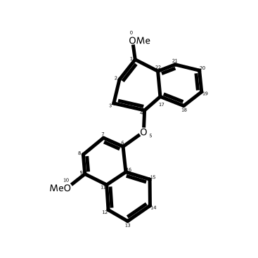 COc1ccc(Oc2ccc(OC)c3ccccc23)c2ccccc12